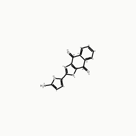 Nc1ccc(-c2nc3c(s2)C(=O)c2ccccc2C3=O)o1